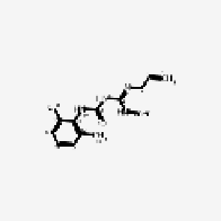 C=CCN=C(NCCC)NC(=O)Nc1c(C)cccc1Cl